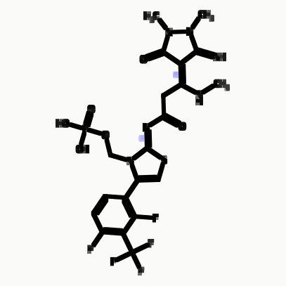 CN/C(CC(=O)/N=c1\scc(-c2ccc(F)c(C(F)(F)F)c2F)n1COP(=O)(O)O)=C1\C(=N)N(C)N(C)C1=O